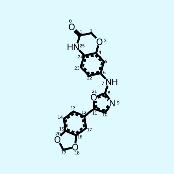 O=C1COc2cc(Nc3ncc(-c4ccc5c(c4)OCO5)o3)ccc2N1